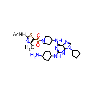 CC(=O)Nc1nc(C)c(S(=O)(=O)N2CCC(Nc3nc(NC4CCC(N)CC4)nc4c3ncn4C3CCCC3)CC2)s1